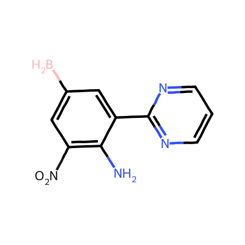 Bc1cc(-c2ncccn2)c(N)c([N+](=O)[O-])c1